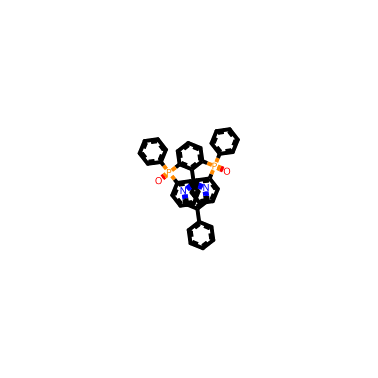 O=P(c1ccccc1)(c1ccccc1)c1cccc(P(=O)(c2ccccc2)c2ccccc2)c1-c1ncc(-c2ccccc2)cn1